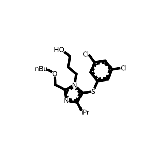 CCCCOCc1nc(C(C)C)c(Sc2cc(Cl)cc(Cl)c2)n1CCCO